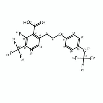 O=C(O)c1c(CCOc2ccc(OC(F)(F)F)cc2)cnc(C(F)(F)F)c1F